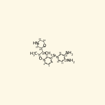 CC(Oc1cccc(Sc2ccc(N)c(N)c2)c1)C(C)C1CNCCO1